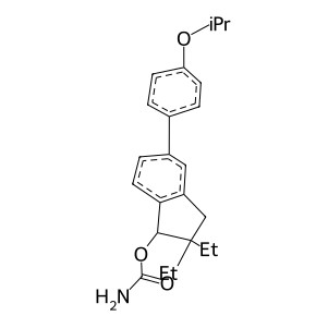 CCC1(CC)Cc2cc(-c3ccc(OC(C)C)cc3)ccc2C1OC(N)=O